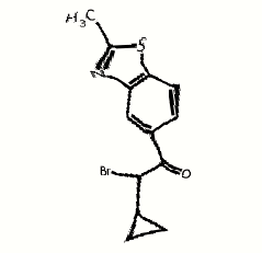 Cc1nc2cc(C(=O)C(Br)C3CC3)ccc2s1